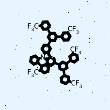 FC(F)(F)c1cccc(-c2cc(-c3cccc(C(F)(F)F)c3)cc(-c3ccc4c(c3)c3cc(-c5cc(-c6cccc(C(F)(F)F)c6)cc(-c6cccc(C(F)(F)F)c6)c5)ccc3n4-c3ccccc3-c3ccccc3C(F)(F)F)c2)c1